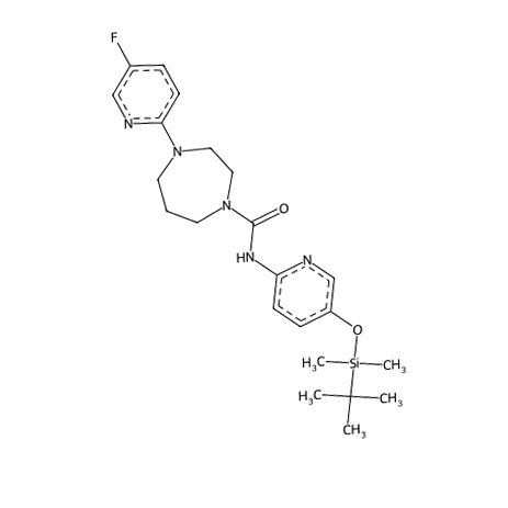 CC(C)(C)[Si](C)(C)Oc1ccc(NC(=O)N2CCCN(c3ccc(F)cn3)CC2)nc1